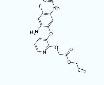 CCOC(=O)COc1ncccc1Oc1cc(NC(C)=O)c(F)cc1N